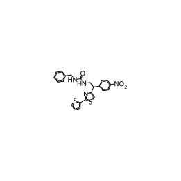 O=C(NCc1ccccc1)NCC(c1ccc([N+](=O)[O-])cc1)c1csc(-c2cccs2)n1